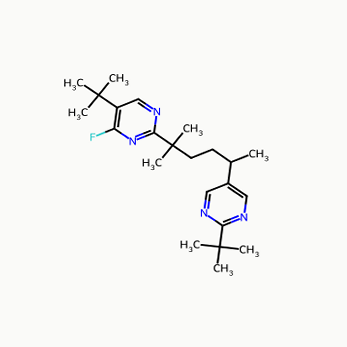 CC(CCC(C)(C)c1ncc(C(C)(C)C)c(F)n1)c1cnc(C(C)(C)C)nc1